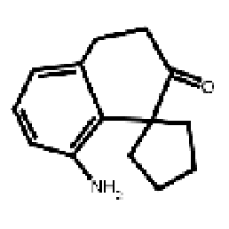 Nc1cccc2c1C1(CCCC1)C(=O)CC2